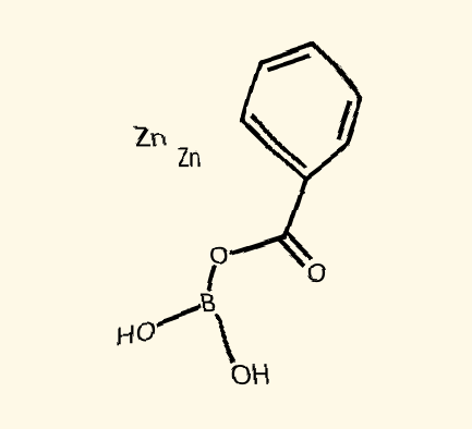 O=C(OB(O)O)c1ccccc1.[Zn].[Zn]